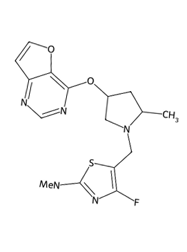 CNc1nc(F)c(CN2CC(Oc3ncnc4ccoc34)CC2C)s1